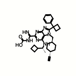 C#C[C@H]1CC[C@H](Cn2c(C3(c4ccccc4)CCC3)nc3nc(C(=N)NC(=O)O)nc(N[C@H](C)C4CCC4)c32)CC1